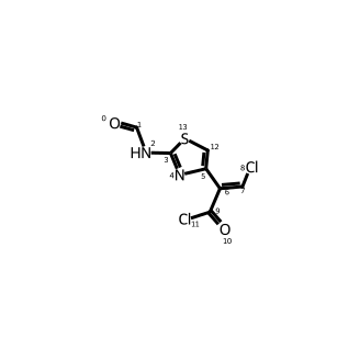 O=CNc1nc(/C(=C\Cl)C(=O)Cl)cs1